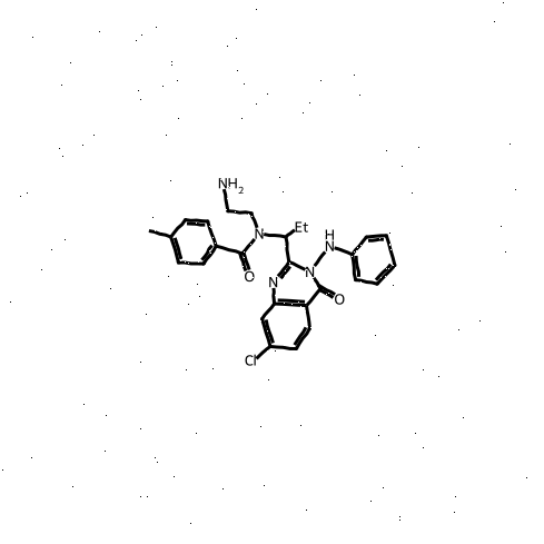 CCC(c1nc2cc(Cl)ccc2c(=O)n1Nc1ccccc1)N(CCN)C(=O)c1ccc(C)cc1